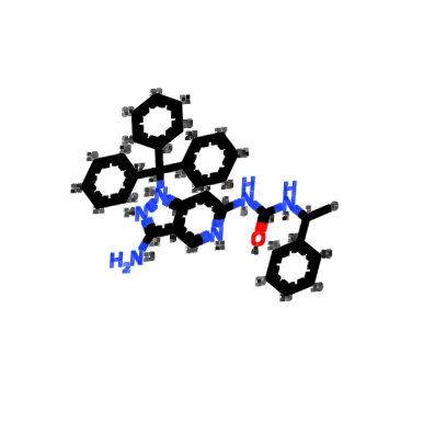 CC(NC(=O)Nc1cc2c(cn1)c(N)nn2C(c1ccccc1)(c1ccccc1)c1ccccc1)c1ccccc1